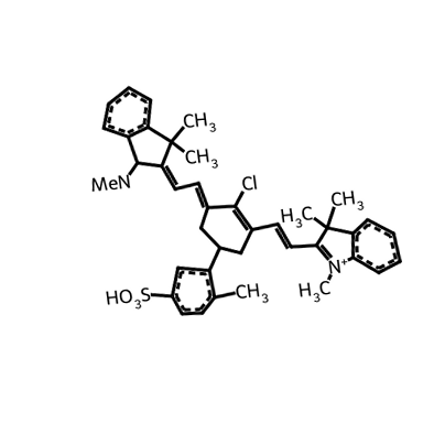 CNC1/C(=C/C=C2\CC(c3cc(S(=O)(=O)O)ccc3C)CC(/C=C/C3=[N+](C)c4ccccc4C3(C)C)=C2Cl)C(C)(C)c2ccccc21